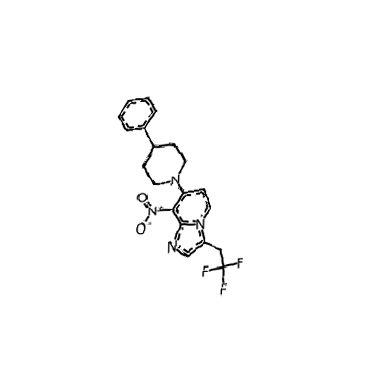 O=[N+]([O-])c1c(N2CCC(c3ccccc3)CC2)ccn2c(CC(F)(F)F)cnc12